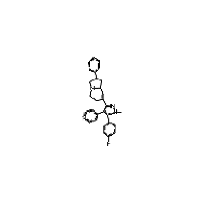 Cn1nc(C2=CC3CC(c4ccccc4)CN3CC2)c(-c2ccncc2)c1-c1ccc(F)cc1